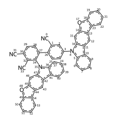 N#Cc1cc(-n2c3ccccc3c3cc4c(cc32)oc2ccccc24)ccc1-c1ccc(C#N)c(C#N)c1-n1c2ccccc2c2cc3c(cc21)oc1ccccc13